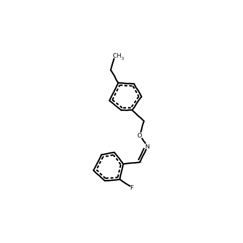 CCc1ccc(CO/N=[C]\c2ccccc2F)cc1